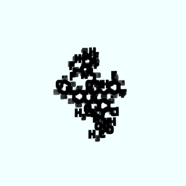 Cn1nc(NS(C)(=O)=O)c2c(Cl)ccc(-n3c([C@H](Cc4cc(F)cc(F)c4)NC(=O)Cn4nc(C(F)F)c5c4C(F)(F)[C@@H]4C[C@H]54)nc4cc(N5CCOCC5)ccc4c3=O)c21